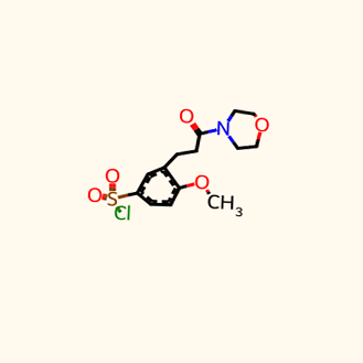 COc1ccc(S(=O)(=O)Cl)cc1CCC(=O)N1CCOCC1